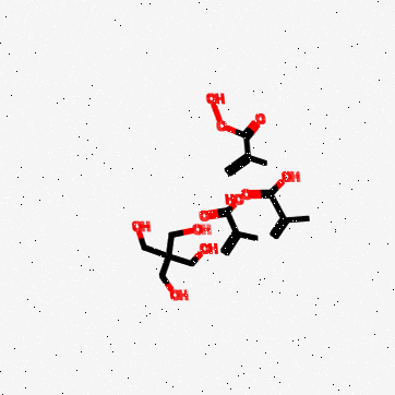 C=C(C)C(=O)O.C=C(C)C(=O)O.C=C(C)C(=O)OO.OCC(CO)(CO)CO